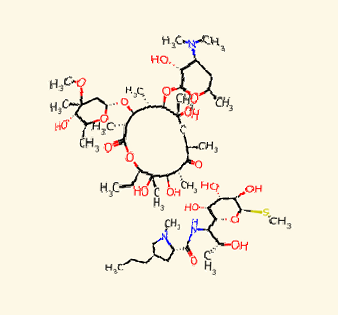 CCC[C@@H]1C[C@@H](C(=O)N[C@@H]([C@H]2O[C@H](SC)[C@H](O)[C@@H](O)[C@H]2O)[C@@H](C)O)N(C)C1.CC[C@H]1OC(=O)[C@H](C)[C@@H](O[C@H]2C[C@@](C)(OC)[C@@H](O)[C@H](C)O2)[C@H](C)[C@@H](O[C@@H]2O[C@H](C)C[C@H](N(C)C)[C@H]2O)[C@](C)(O)C[C@@H](C)C(=O)[C@H](C)[C@@H](O)[C@]1(C)O